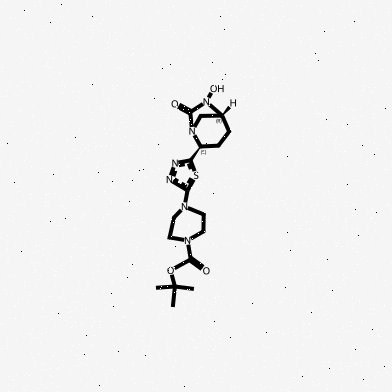 CC(C)(C)OC(=O)N1CCN(c2nnc([C@@H]3CC[C@@H]4CN3C(=O)N4O)s2)CC1